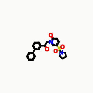 O=C(Cn1cc(S(=O)(=O)N2CCCC2)ccc1=O)c1cccc(-c2ccccc2)c1